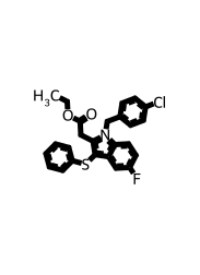 CCOC(=O)Cc1c(Sc2ccccc2)c2cc(F)ccc2n1Cc1ccc(Cl)cc1